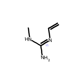 C=C/N=C(/N)NC